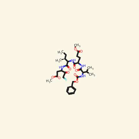 CC[C@H](C)C(NC(=O)C(CCC(=O)OC)NC(=O)C(NC(=O)OCc1ccccc1)C(C)C)C(=O)NC(CC(=O)OC)C(=O)CF